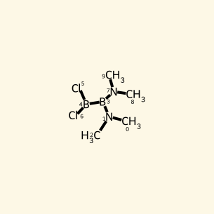 CN(C)B(B(Cl)Cl)N(C)C